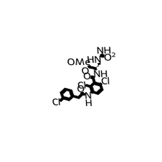 COC(=O)[C@H](CNC(N)=O)NC(=O)c1c(Cl)ccc(NC(=O)Cc2cccc(Cl)c2)c1Cl